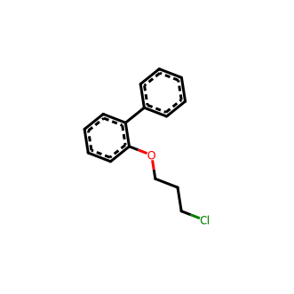 ClCCCOc1ccccc1-c1ccccc1